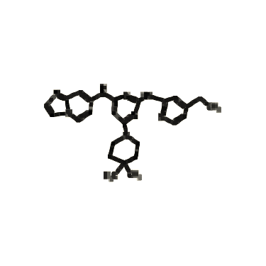 CCc1ccnc(Nc2nc(Nc3ccn4ccnc4c3)cc(N3CCC(C)(C)CC3)n2)c1